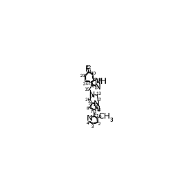 Cc1cccnc1-c1cc2n(n1)CCN(Cc1n[nH]c3cc(F)ccc13)C2